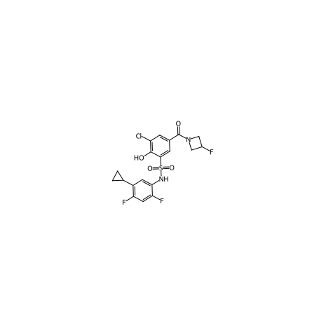 O=C(c1cc(Cl)c(O)c(S(=O)(=O)Nc2cc(C3CC3)c(F)cc2F)c1)N1CC(F)C1